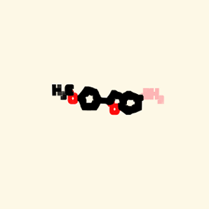 Bc1ccc2oc(-c3ccc(OC)cc3)cc2c1